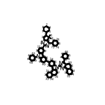 CC1(C)C(C2=CC=CCC2)=Cc2nc(-c3ccc4c(c3)c3cc(-c5ccc6c(c5)c5c7ccccc7ccc5n6-c5nc(-c6ccccc6)c6ccc7ccccc7c6n5)ccc3n4-c3ccccc3)nc(-c3ccccc3)c21